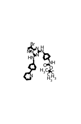 CC(C)(C)OC(=O)Nc1ccc(Nc2nc(NCc3ccc(-c4ccccn4)cc3)n3ncc(Br)c3n2)cc1